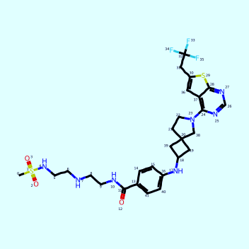 CS(=O)(=O)NCCNCCNC(=O)c1ccc(NC2CC3(CCN(c4ncnc5sc(CC(F)(F)F)cc45)C3)C2)cc1